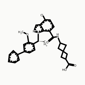 COc1cc(-c2ccccc2)ccc1[C@@H](C)n1ncc2c(Cl)ccc(C(=O)NC3CC4(C3)CC(C(=O)O)C4)c21